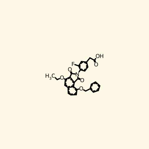 CCOc1cc2cccc(OCc3ccccc3)c2c2c1C(=O)N(c1ccc(CC(=O)O)cc1F)C2=O